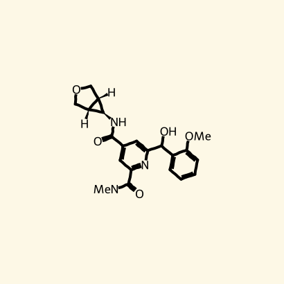 CNC(=O)c1cc(C(=O)N[C@H]2[C@@H]3COC[C@@H]32)cc(C(O)c2ccccc2OC)n1